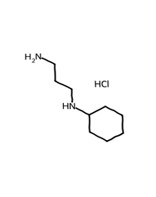 Cl.NCCCNC1CCCCC1